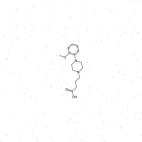 COc1ccccc1N1CCN(CCCC(=O)O)CC1